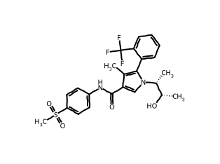 Cc1c(C(=O)Nc2ccc(S(C)(=O)=O)cc2)cn([C@H](C)[C@H](C)O)c1-c1ccccc1C(F)(F)F